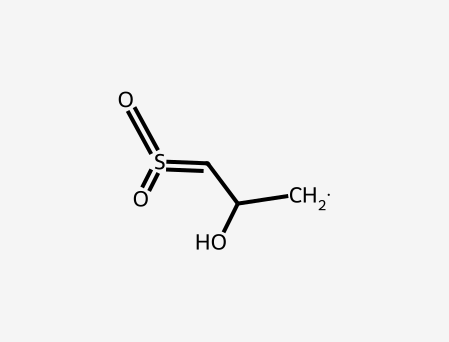 [CH2]C(O)C=S(=O)=O